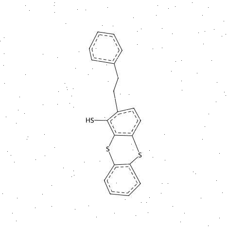 Sc1c(CCc2ccccc2)ccc2c1Sc1ccccc1S2